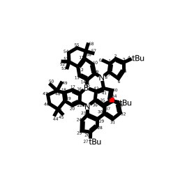 Cc1cc(C(C)(C)C)ccc1N1c2cc3c(cc2B2c4cc5c(cc4N(c4ccc(C(C)(C)C)cc4-c4ccccc4)c4cc(C(C)(C)C)cc1c42)C(C)(C)CCC5(C)C)C(C)(C)CCC3(C)C